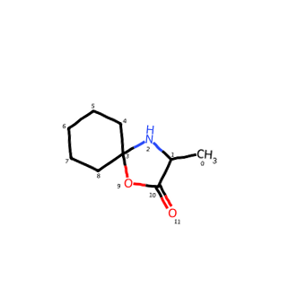 CC1NC2(CCCCC2)OC1=O